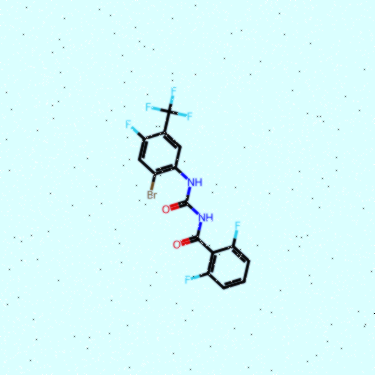 O=C(NC(=O)c1c(F)cccc1F)Nc1cc(C(F)(F)F)c(F)cc1Br